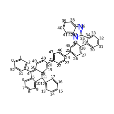 c1ccc(-c2c3ccccc3c(-c3ccccc3)c3cc(-c4ccc(-c5ccc6c7ccccc7c7nc8ccccc8n7c6c5)cc4)ccc23)cc1